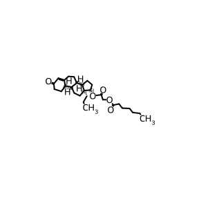 CCCCCCC(=O)OCC(=O)O[C@H]1CC[C@H]2[C@@H]3CCC4=CC(=O)CC[C@@H]4[C@H]3CC[C@]12CCC